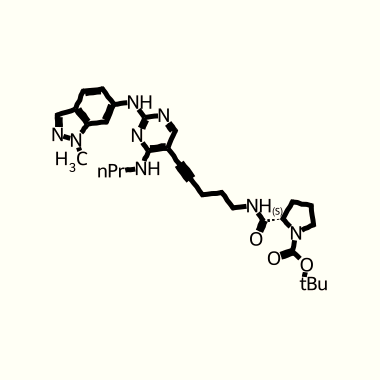 CCCNc1nc(Nc2ccc3cnn(C)c3c2)ncc1C#CCCCNC(=O)[C@@H]1CCCN1C(=O)OC(C)(C)C